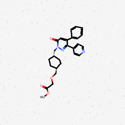 CC(C)(C)OC(=O)COC[C@H]1CC[C@H](Cn2nc(-c3ccncc3)c(-c3ccccc3)cc2=O)CC1